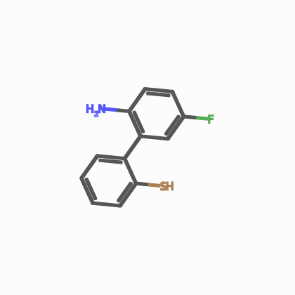 Nc1ccc(F)cc1-c1ccccc1S